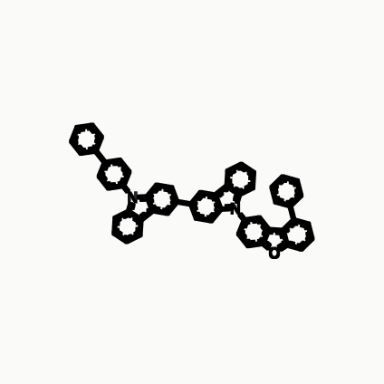 c1ccc(-c2ccc(-n3c4ccccc4c4cc(-c5ccc6c(c5)c5ccccc5n6-c5ccc6oc7cccc(-c8ccccc8)c7c6c5)ccc43)cc2)cc1